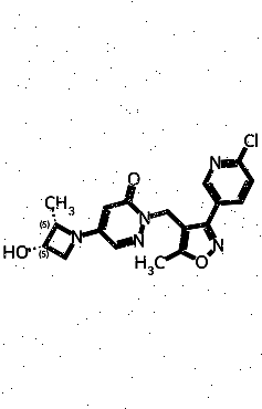 Cc1onc(-c2ccc(Cl)nc2)c1Cn1ncc(N2C[C@H](O)[C@@H]2C)cc1=O